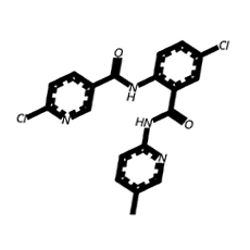 Cc1ccc(NC(=O)c2cc(Cl)ccc2NC(=O)c2ccc(Cl)nc2)nc1